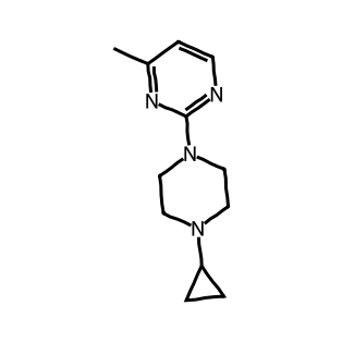 Cc1ccnc(N2CCN(C3CC3)CC2)n1